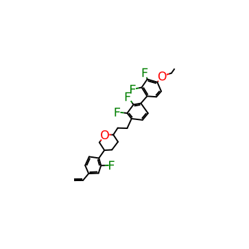 C=Cc1ccc(C2CCC(CCc3ccc(-c4ccc(OCC)c(F)c4F)c(F)c3F)OC2)c(F)c1